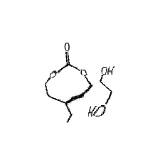 CC1CCOC(=O)OCC1.OCCO